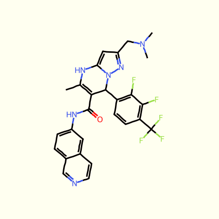 CC1=C(C(=O)Nc2ccc3cnccc3c2)C(c2ccc(C(F)(F)F)c(F)c2F)n2nc(CN(C)C)cc2N1